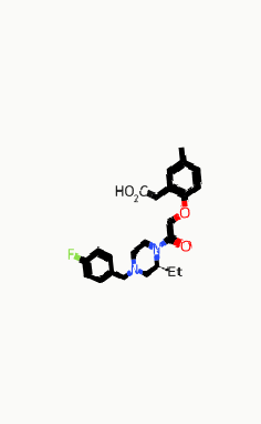 CC[C@@H]1CN(Cc2ccc(F)cc2)CCN1C(=O)COc1ccc(C)cc1CC(=O)O